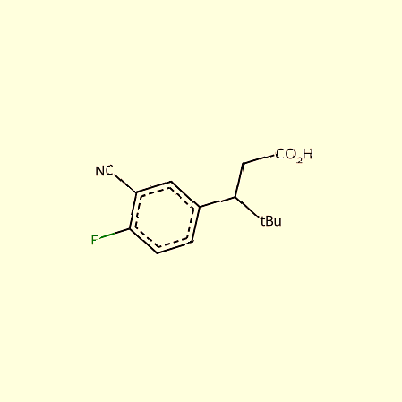 CC(C)(C)C(CC(=O)O)c1ccc(F)c(C#N)c1